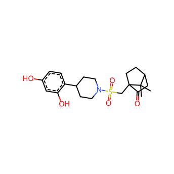 CC1(C)C2CCC1(CS(=O)(=O)N1CCC(c3ccc(O)cc3O)CC1)C(=O)C2